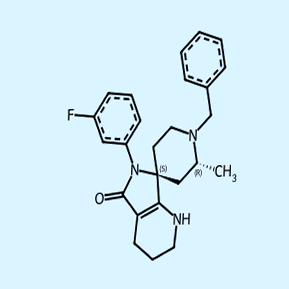 C[C@@H]1C[C@@]2(CCN1Cc1ccccc1)C1=C(CCCN1)C(=O)N2c1cccc(F)c1